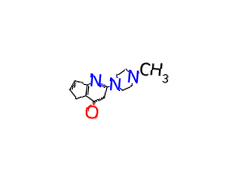 CN1CCN(C2=NC3=C(CC=C3)C(=O)C2)CC1